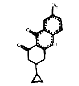 Cc1ccc2[nH]c3c(c(=O)c2c1)C(=O)CC(C1CC1)C3